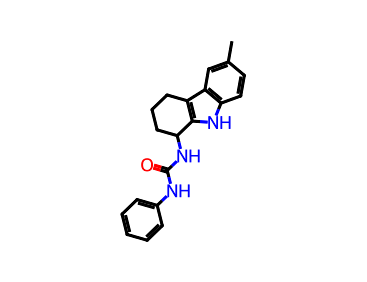 Cc1ccc2[nH]c3c(c2c1)CCCC3NC(=O)Nc1ccccc1